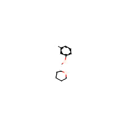 CC(C)c1cccc(OC[C@H]2CCCCO2)c1